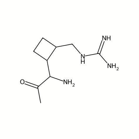 CC(=O)C(N)C1CCC1CNC(=N)N